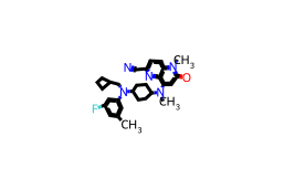 Cc1cc(F)cc(N(CC2CCC2)C2CCC(N(C)c3cc(=O)n(C)c4ccc(C#N)nc34)CC2)c1